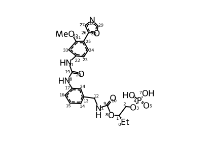 CC[C@H](COP(=O)(O)O)OC(=O)NCc1cccc(NC(=O)Nc2ccc(-c3cnco3)c(OC)c2)c1